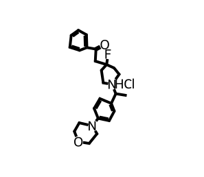 CC(c1ccc(N2CCOCC2)cc1)N1CCC(F)(CC(=O)c2ccccc2)CC1.Cl